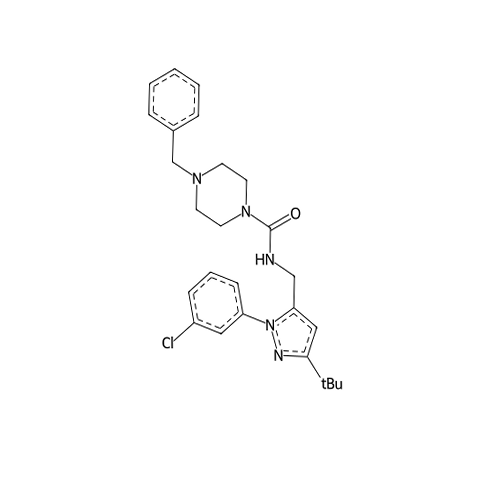 CC(C)(C)c1cc(CNC(=O)N2CCN(Cc3ccccc3)CC2)n(-c2cccc(Cl)c2)n1